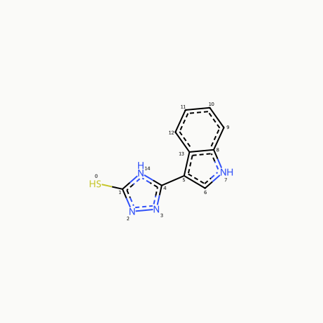 Sc1nnc(-c2c[nH]c3ccccc23)[nH]1